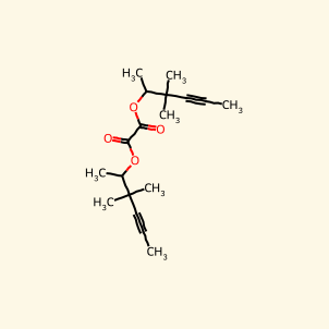 CC#CC(C)(C)C(C)OC(=O)C(=O)OC(C)C(C)(C)C#CC